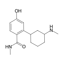 CNC(=O)c1ccc(O)cc1C1CCCC(NC)C1